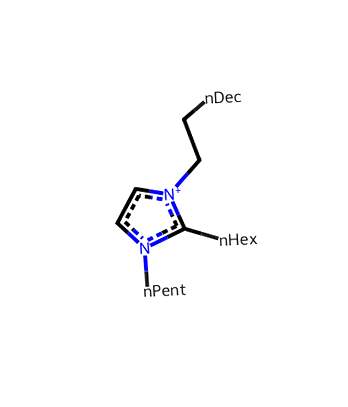 CCCCCCCCCCCC[n+]1ccn(CCCCC)c1CCCCCC